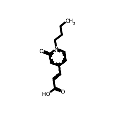 CCCCn1ccc(C=CC(=O)O)cc1=O